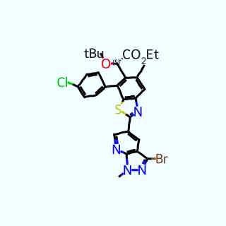 CCOC(=O)[C@@H](OC(C)(C)C)c1c(C)cc2nc(-c3cnc4c(c3)c(Br)nn4C)sc2c1-c1ccc(Cl)cc1